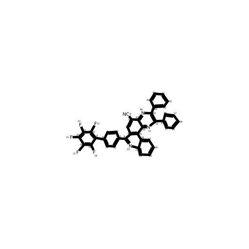 N#Cc1cc2c(-c3ccc(-c4c(F)c(F)c(F)c(F)c4F)cc3)nc3ccccc3c2c2nc(-c3ccccc3)c(-c3ccccc3)nc12